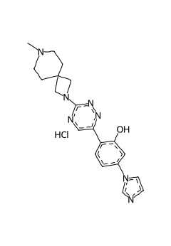 CN1CCC2(CC1)CN(c1ncc(-c3ccc(-n4ccnc4)cc3O)nn1)C2.Cl